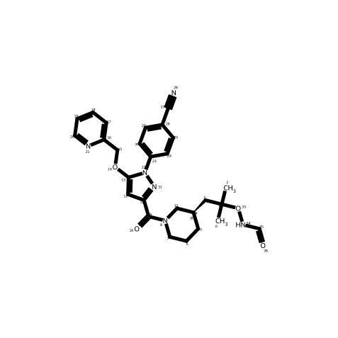 CC(C)(C[C@H]1CCCN(C(=O)c2cc(OCc3ccccn3)n(-c3ccc(C#N)cc3)n2)C1)ONC=O